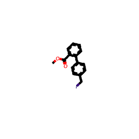 COC(=O)c1ccccc1-c1ccc(CI)cc1